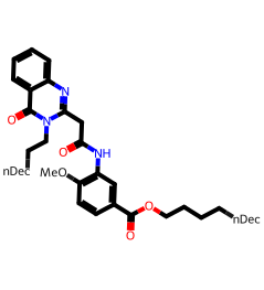 CCCCCCCCCCCCCCOC(=O)c1ccc(OC)c(NC(=O)Cc2nc3ccccc3c(=O)n2CCCCCCCCCCCC)c1